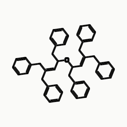 C(=C(Cc1ccccc1)Cc1ccccc1)C(Cc1ccccc1)OC(C=C(Cc1ccccc1)Cc1ccccc1)Cc1ccccc1